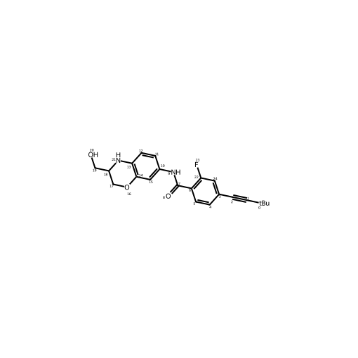 CC(C)(C)C#Cc1ccc(C(=O)Nc2ccc3c(c2)OCC(CO)N3)c(F)c1